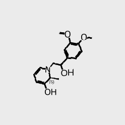 COc1ccc(C(O)CN2C=CC=C(O)[C@@H]2C)cc1OC